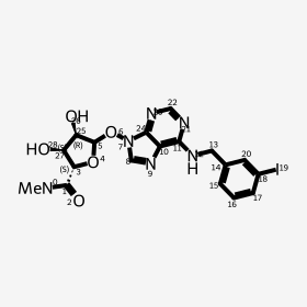 CNC(=O)[C@H]1OC(On2cnc3c(NCc4cccc(I)c4)ncnc32)[C@H](O)[C@@H]1O